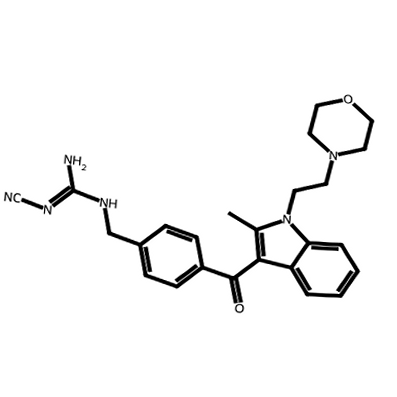 Cc1c(C(=O)c2ccc(CNC(N)=NC#N)cc2)c2ccccc2n1CCN1CCOCC1